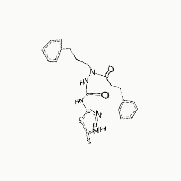 O=C(Nc1n[nH]c(=S)s1)NN(CCCc1ccccc1)C(=O)CCc1ccccc1